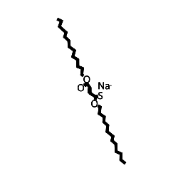 CCCCCCCCCCCCCOC(=O)C=CC(=S)OCCCCCCCCCCCCC.[Na]